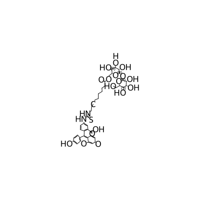 O=C(CCCCCCCCCNC(=S)Nc1ccc(-c2c3ccc(=O)cc-3oc3cc(O)ccc23)c(C(=O)O)c1)OCC1O[C@H](O[C@H]2OC(CO)[C@@H](O)C(O)C2O)C(O)C(O)[C@H]1O